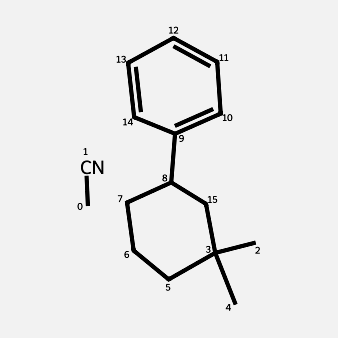 CC#N.CC1(C)CCCC(c2ccccc2)C1